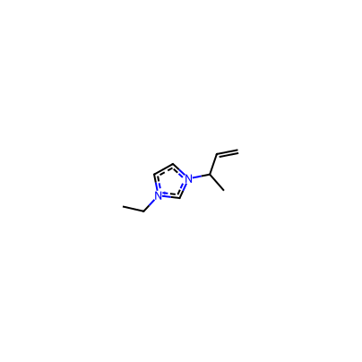 C=CC(C)n1cc[n+](CC)c1